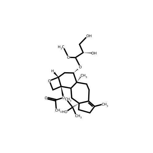 COC(O[C@H]1C[C@H]2OC[C@@]2(OC(C)=O)C2C[C@]3(C(C)(C)O)CCC(C)=C3CC[C@@]21C)[C@@H](O)CO